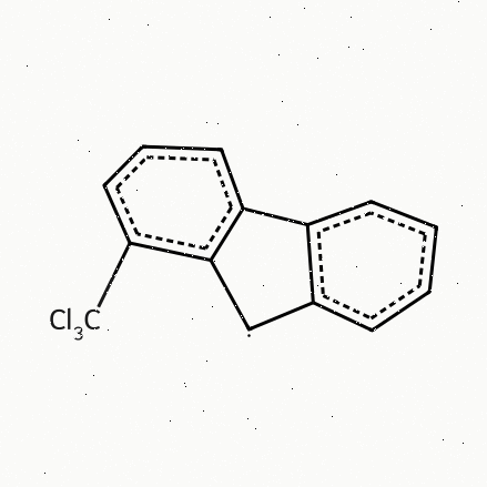 ClC(Cl)(Cl)c1cccc2c1[CH]c1ccccc1-2